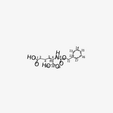 O=C(O)CCC[C@@H](NC(=O)OCc1ccccc1)C(=O)O